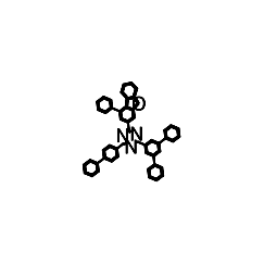 c1ccc(-c2ccc(-c3nc(-c4cc(-c5ccccc5)cc(-c5ccccc5)c4)nc(-c4cc(-c5ccccc5)c5c(c4)oc4ccccc45)n3)cc2)cc1